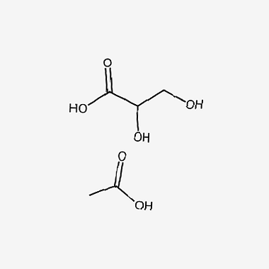 CC(=O)O.O=C(O)C(O)CO